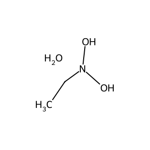 CCN(O)O.O